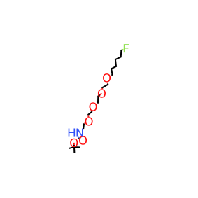 CC(C)(C)OC(=O)NCCOCCOCCOCCOCCCCCCF